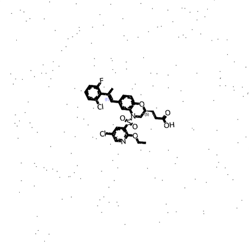 CCOc1ncc(Cl)cc1S(=O)(=O)N1C[C@H](CCC(=O)O)Oc2ccc(/C=C(\C)c3c(F)cccc3Cl)cc21